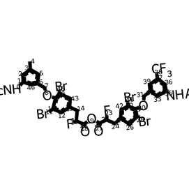 CC(=O)Nc1cc(C)cc(COc2c(Br)cc(CC(F)C(=O)OC(=O)C(F)Cc3cc(Br)c(OCc4cc(NC(C)=O)cc(C(F)(F)F)c4)c(Br)c3)cc2Br)c1